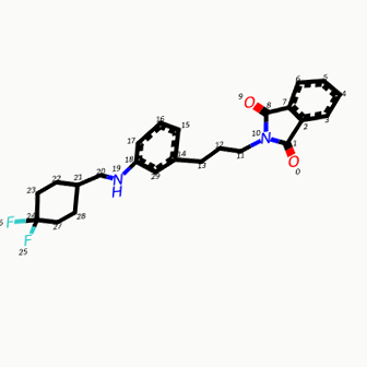 O=C1c2ccccc2C(=O)N1CCCc1cccc(NCC2CCC(F)(F)CC2)c1